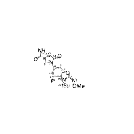 CON=c1oc2cc(N3C[C@H](C(N)=O)OC3=O)cc(F)c2n1C(C)(C)C